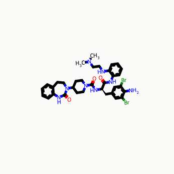 CN(C)CCNc1ccccc1NC(=O)[C@@H](Cc1cc(Br)c(N)c(Br)c1)NC(=O)N1CCC(N2CCc3ccccc3NC2=O)CC1